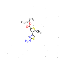 Cc1sc(C(=O)OC(C)C)cc1-c1csc(N)n1